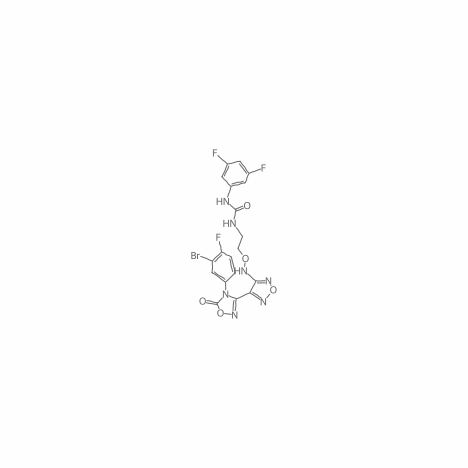 O=C(NCCONc1nonc1-c1noc(=O)n1-c1ccc(F)c(Br)c1)Nc1cc(F)cc(F)c1